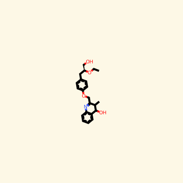 CCO[C@H](CO)Cc1ccc(OCC2=Nc3ccccc3C(O)C2C)cc1